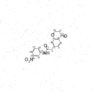 O=C(Cc1ccc2c(c1)OCCC2=O)Nc1cccc([N+](=O)[O-])c1